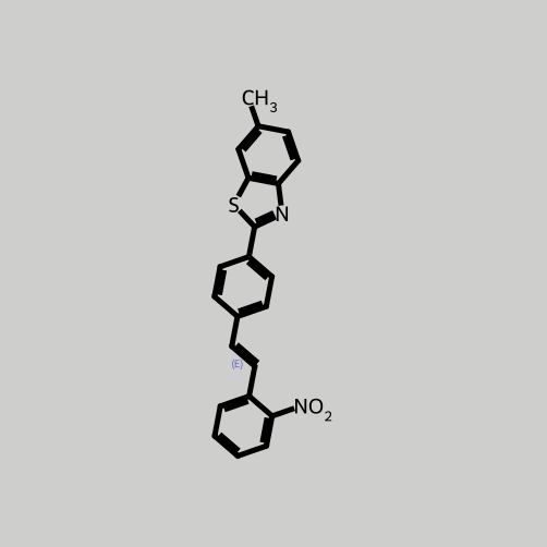 Cc1ccc2nc(-c3ccc(/C=C/c4ccccc4[N+](=O)[O-])cc3)sc2c1